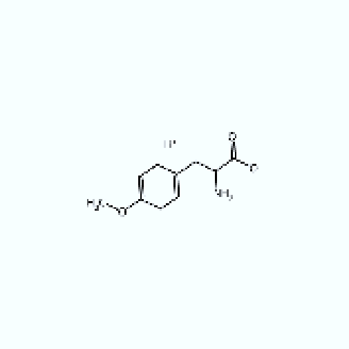 COC1=CCC(CC(N)C(=O)[O-])=CC1.[Li+]